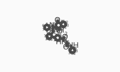 NC1(c2nc3ccccc3n2Cc2ccccc2C2CCC(C(=O)NCC(=O)Nc3ccccc3)CC2)CC(=O)c2ccccc2C1=O